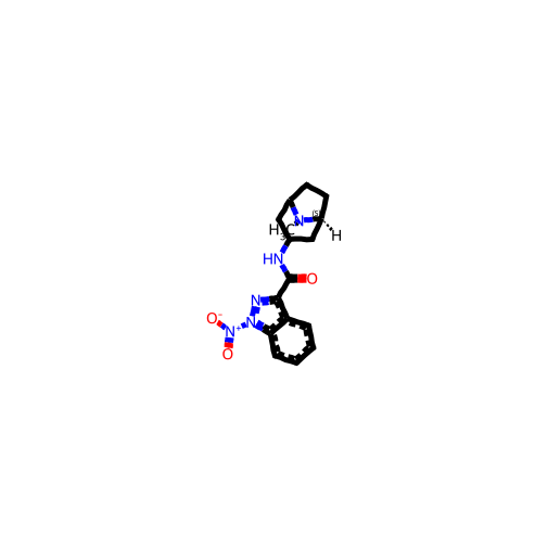 CN1C2CC[C@H]1CC(NC(=O)c1nn([N+](=O)[O-])c3ccccc13)C2